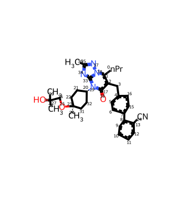 CCCc1c(Cc2ccc(-c3ccccc3C#N)cc2)c(=O)n([C@H]2CC[C@](C)(OCC(C)(C)O)CC2)c2nc(C)nn12